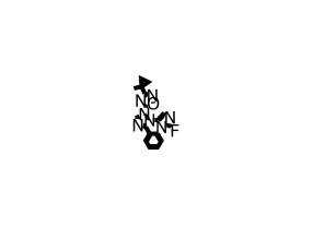 CC1(c2noc(N3CN=C4c5ccccc5-n5c(cnc5F)N43)n2)CC1